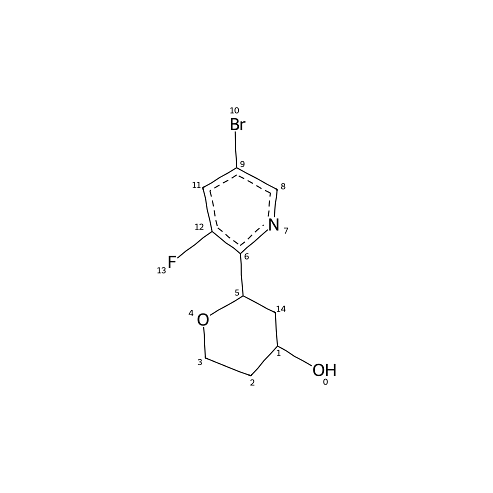 OC1CCOC(c2ncc(Br)cc2F)C1